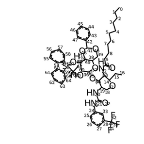 CCCCCCCCCCC(=O)N[C@H]1C(CC)OCC(NC(=O)Nc2cccc(C(F)(F)F)c2)[C@H]1O[C@H]1OC2COC(c3ccccc3)O[C@@H]2[C@H](O[Si](c2ccccc2)(c2ccccc2)C(C)(C)C)C1O